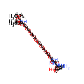 CC(C)(C)OC(=O)CCC(NC(=O)CCOCCOCCOCCOCCOCCOCCOCCOCCOCCOCCOCCOCCNC(=O)CNC(=O)CNC(=O)c1cc(N)ccc1CCC(=O)O)C(=O)OC(C)(C)C